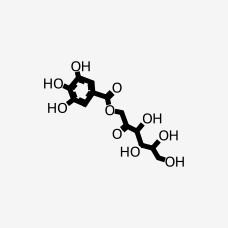 O=C(OCC(=O)C(O)C(O)C(O)CO)c1cc(O)c(O)c(O)c1